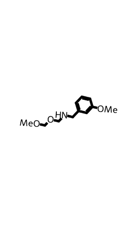 COCOCNCc1cccc(OC)c1